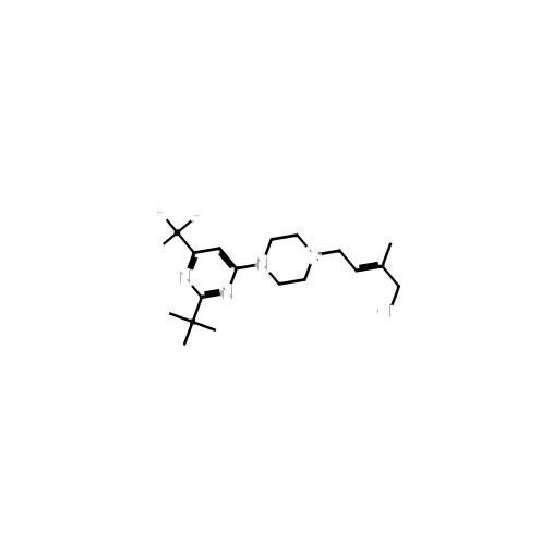 C/C(=C\CN1CCN(c2cc(C(F)(F)F)nc(C(C)(C)C)n2)CC1)CCl